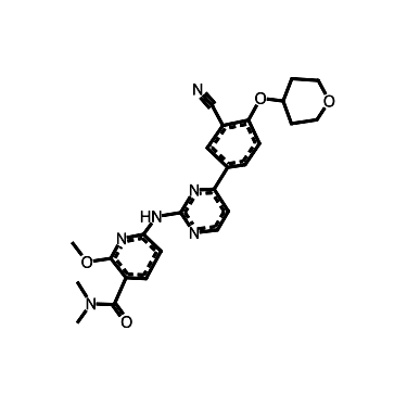 COc1nc(Nc2nccc(-c3ccc(OC4CCOCC4)c(C#N)c3)n2)ccc1C(=O)N(C)C